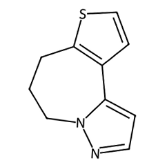 c1cc2n(n1)CCCc1sccc1-2